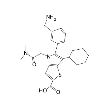 CN(C)C(=O)Cn1c(-c2cccc(CN)c2)c(C2CCCCC2)c2sc(C(=O)O)cc21